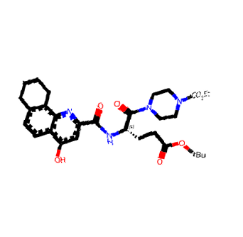 CCOC(=O)N1CCN(C(=O)[C@H](CCC(=O)OC(C)(C)C)NC(=O)c2cc(O)c3ccc4c(c3n2)CCCC4)CC1